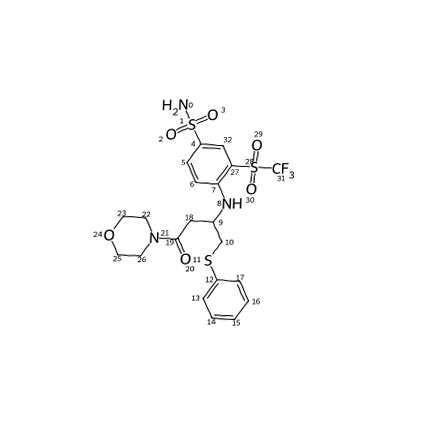 NS(=O)(=O)c1ccc(NC(CSc2ccccc2)CC(=O)N2CCOCC2)c(S(=O)(=O)C(F)(F)F)c1